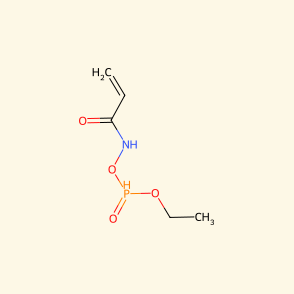 C=CC(=O)NO[PH](=O)OCC